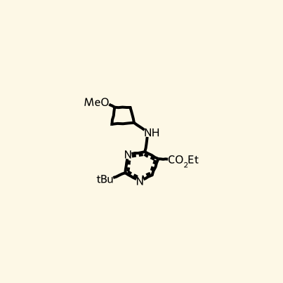 CCOC(=O)c1cnc(C(C)(C)C)nc1NC1CC(OC)C1